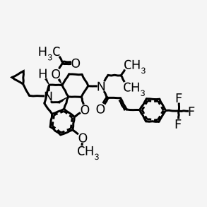 COc1ccc2c3c1OC1C(N(CC(C)C)C(=O)/C=C/c4ccc(C(F)(F)F)cc4)CC[C@@]4(OC(C)=O)[C@@H](C2)N(CC2CC2)CC[C@]314